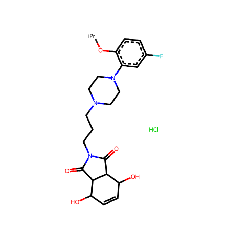 CC(C)Oc1ccc(F)cc1N1CCN(CCCN2C(=O)C3C(O)C=CC(O)C3C2=O)CC1.Cl